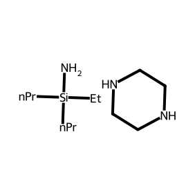 C1CNCCN1.CCC[Si](N)(CC)CCC